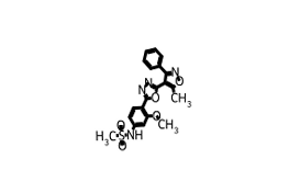 COc1cc(NS(C)(=O)=O)ccc1-c1nnc(-c2c(-c3ccccc3)noc2C)o1